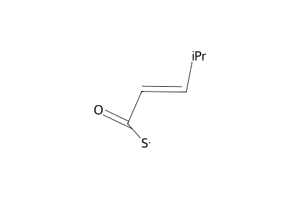 CC(C)C=CC(=O)[S]